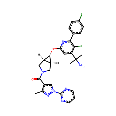 Cc1nn(-c2ncccn2)cc1C(=O)N1C[C@@H]2[C@H](C1)[C@H]2Oc1cc(C(C)(C)N)c(F)c(-c2ccc(F)cc2)n1